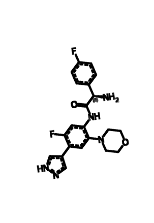 N[C@@H](C(=O)Nc1cc(F)c(-c2cn[nH]c2)cc1N1CCOCC1)c1ccc(F)cc1